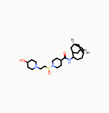 O=C(NC1CC[C@@H]2C[C@H]3CC1C[C@@H]2C3)C1CCN([S+]([O-])CCN2CCC(O)CC2)CC1